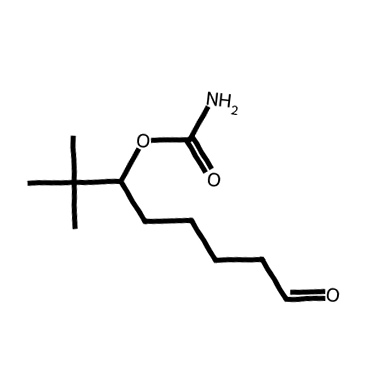 CC(C)(C)C(CCCCC=O)OC(N)=O